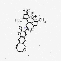 CC1=CC(C)=[N+]2C1=C(/C=C/c1cc3cc4c(cc3oc1=O)C#CCCOC4)c1c(C)cc(C)n1[B-]2(F)F